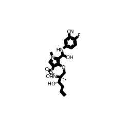 C=CC[C@H](O)[C@]1(C)COc2c(cn(C)c2C(O)Nc2ccc(F)c(C#N)c2)S(=O)(=O)N1